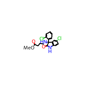 COC(=O)CCCNC1(c2ccccc2Cl)C(=O)Nc2ccc(Cl)cc21